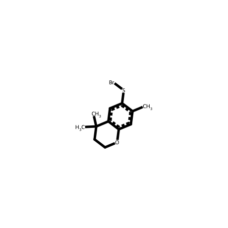 Cc1cc2c(cc1SBr)C(C)(C)CCO2